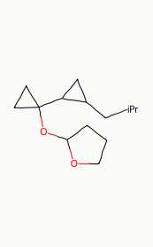 CC(C)CC1CC1C1(OC2CCCO2)CC1